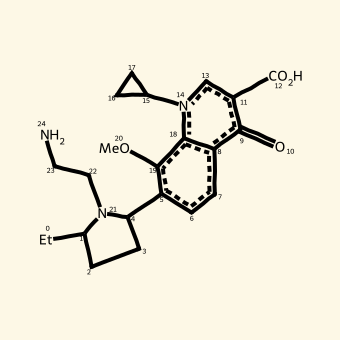 CCC1CCC(c2ccc3c(=O)c(C(=O)O)cn(C4CC4)c3c2OC)N1CCN